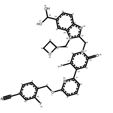 N#Cc1ccc(COc2cccc(-c3cc(=O)n(Cc4nc5ccc(C(O)O)cc5n4C[C@@H]4CCO4)cc3F)n2)c(F)c1